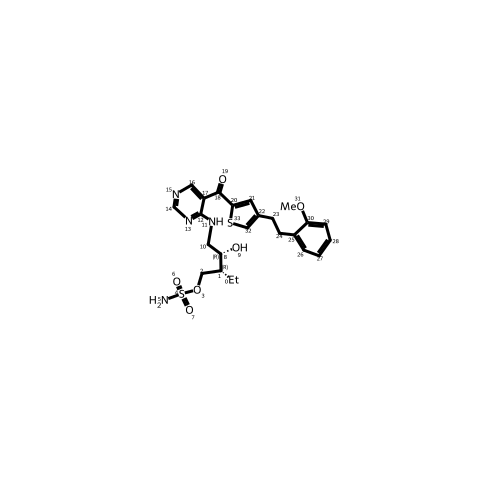 CC[C@H](COS(N)(=O)=O)[C@@H](O)CNc1ncncc1C(=O)c1cc(CCc2ccccc2OC)cs1